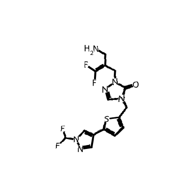 NCC(Cn1ncn(Cc2ccc(-c3cnn(C(F)F)c3)s2)c1=O)=C(F)F